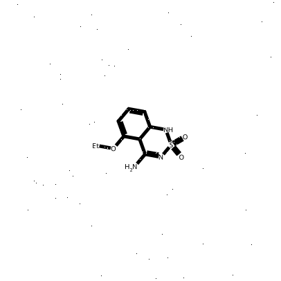 CCOC1=CC=CC2NS(=O)(=O)N=C(N)C12